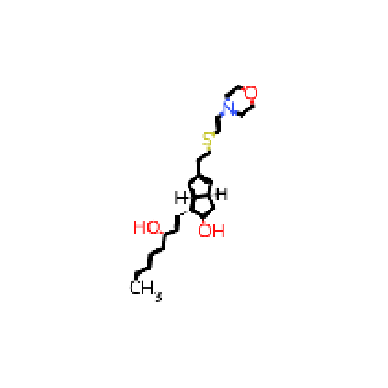 CCCCC[C@H](O)/C=C/[C@@H]1[C@H]2CC(CCSCCN3CCOCC3)=C[C@H]2C[C@H]1O